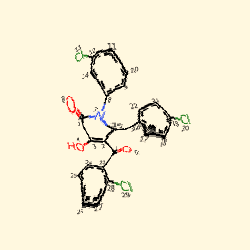 O=C(C1=C(O)C(=O)N(c2cccc(Cl)c2)C1c1ccc(Cl)cc1)c1ccccc1Cl